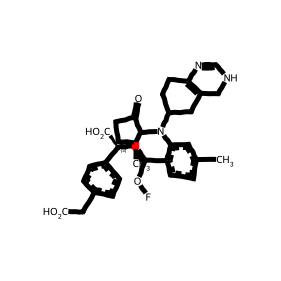 Cc1ccc(C(=N[C@H](C(=O)O)c2ccc(CC(=O)O)cc2)OF)c(N(C2CCC3=C(CNC=N3)C2)C2C(=O)CCC2C)c1